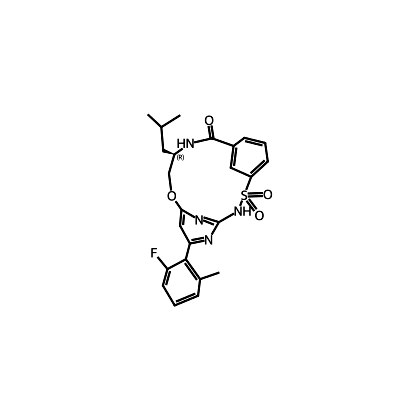 Cc1cccc(F)c1-c1cc2nc(n1)NS(=O)(=O)c1cccc(c1)C(=O)N[C@H](CC(C)C)CO2